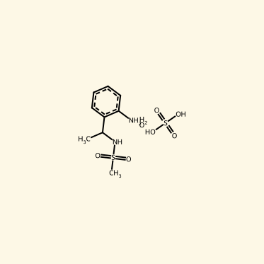 CC(NS(C)(=O)=O)c1ccccc1N.O.O=S(=O)(O)O